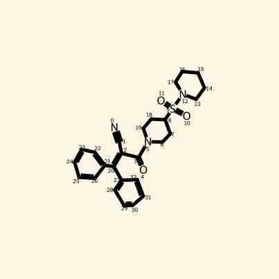 N#CC(C(=O)N1CCC(S(=O)(=O)N2CCCCC2)CC1)=C(c1ccccc1)c1ccccc1